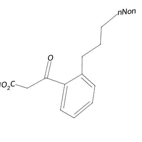 CCCCCCCCCCCCc1ccccc1C(=O)CC(=O)O